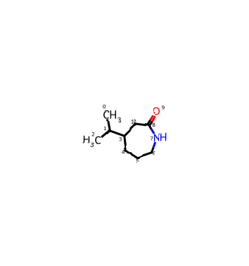 CC(C)C1CCCNC(=O)C1